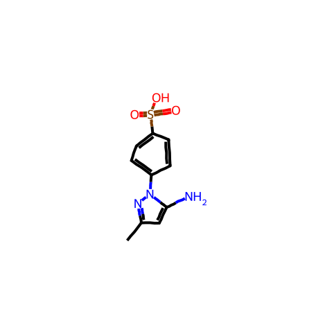 Cc1cc(N)n(-c2ccc(S(=O)(=O)O)cc2)n1